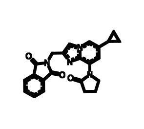 O=C1c2ccccc2C(=O)N1Cc1cn2cc(C3CC3)cc(N3CCCC3=O)c2n1